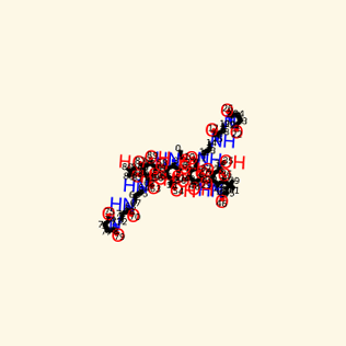 CC(=O)NC1C(OC2C(C(=O)NCCCNC(=O)CCN3C(=O)C=CC3=O)OC(OC3C(O)C(CO)OC(C(C)(C)C)C3NC(C)=O)C(O)C2O)OC(CO)C(O)C1OC1OC(C(=O)NCCCNC(=O)CCN2C(=O)C=CC2=O)C(OC(C)(C)C)C(O)C1O